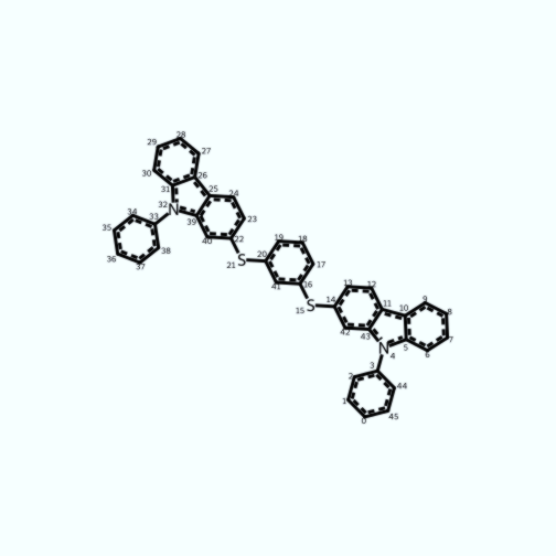 c1ccc(-n2c3ccccc3c3ccc(Sc4cccc(Sc5ccc6c7ccccc7n(-c7ccccc7)c6c5)c4)cc32)cc1